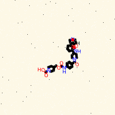 O=C(Nc1ccc(C(=O)N2CCC(NC(=O)O[C@H]3CN4CCC3CC4)(c3ccccc3)CC2)cc1)OCC1CCN(C(=O)O)CC1